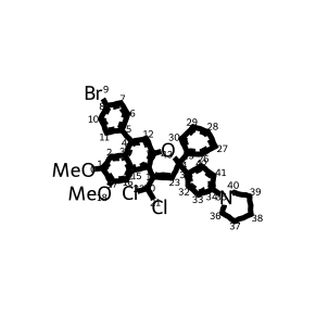 COc1cc2c(-c3ccc(Br)cc3)cc3c(c2cc1OC)C(C(Cl)Cl)=CC(c1ccccc1)(c1ccc(N2CCCCC2)cc1)O3